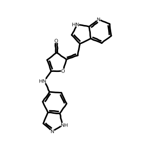 O=C1C=C(Nc2ccc3[nH]ncc3c2)O/C1=C/c1c[nH]c2ncccc12